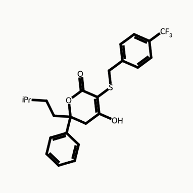 CC(C)CCC1(c2ccccc2)CC(O)=C(SCc2ccc(C(F)(F)F)cc2)C(=O)O1